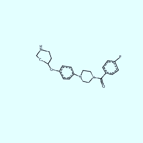 O=C(c1ccc(F)cc1)N1CCN(c2ccc(OC3CCNCC3)cc2)CC1